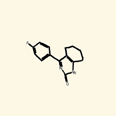 O=c1nc(-c2ccc(F)cc2)c2c([nH]1)CCCC2